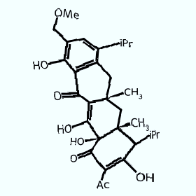 COCc1cc(C(C)C)c2c(c1O)C(=O)C1=C(O)[C@@]3(O)C(=O)C(C(C)=O)=C(O)C(C(C)C)[C@@]3(C)C[C@@]1(C)C2